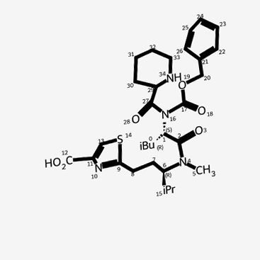 CC[C@@H](C)[C@@H](C(=O)N(C)[C@H](CCc1nc(C(=O)O)cs1)C(C)C)N(C(=O)OCc1ccccc1)C(=O)C1CCCCN1